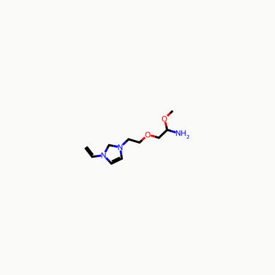 C=CN1C=CN(CCOCC(N)OC)C1